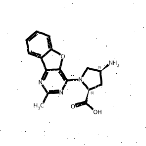 Cc1nc(N2C[C@@H](N)C[C@H]2C(=O)O)c2oc3ccccc3c2n1